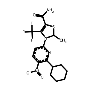 CC1SC(C(N)=O)=C(C(F)(F)F)N1c1ccc([N+](=O)[O-])c(C2CCCCC2)n1